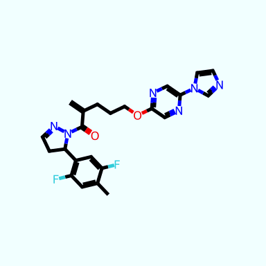 C=C(CCCOc1cnc(-n2ccnc2)cn1)C(=O)N1N=CCC1c1cc(F)c(C)cc1F